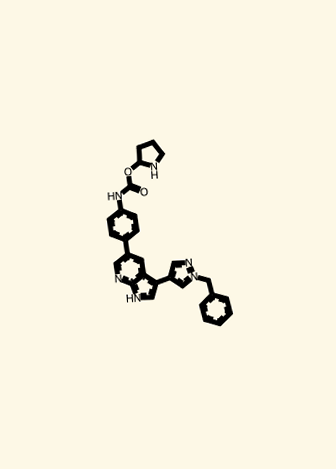 O=C(Nc1ccc(-c2cnc3[nH]cc(-c4cnn(Cc5ccccc5)c4)c3c2)cc1)OC1CCCN1